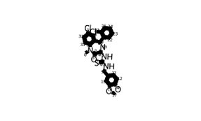 CN1C(=O)C(NC(=S)NCc2ccc3c(c2)OCO3)N=C(c2ccccc2Cl)c2cc(Cl)ccc21